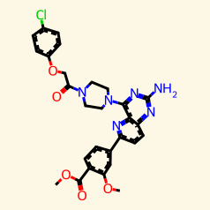 COC(=O)c1ccc(-c2ccc3nc(N)nc(N4CCN(C(=O)COc5ccc(Cl)cc5)CC4)c3n2)cc1OC